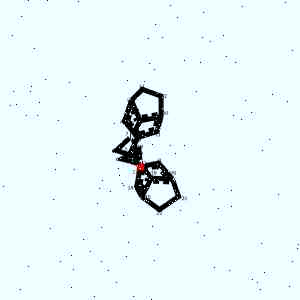 c1c(Cc2cc3c(N4CC4)c(c2)CC3)cc2c(N3CC3)c1CC2